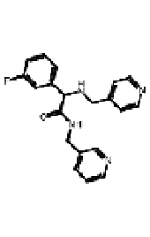 O=C(NCc1cccnc1)C(NCc1ccncc1)c1cccc(F)c1